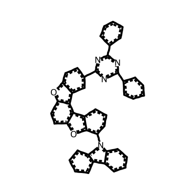 c1ccc(-c2nc(-c3ccccc3)nc(-c3ccc4oc5ccc6oc7c(-n8c9ccccc9c9ccccc98)cccc7c6c5c4c3)n2)cc1